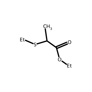 CCOC(=O)C(C)SCC